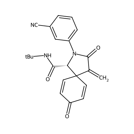 C=C1C(=O)N(c2cccc(C#N)c2)[C@@H](C(=O)NC(C)(C)C)C12C=CC(=O)C=C2